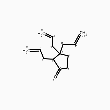 C=CCC1C(=O)CCC1(CC=C)CC=C